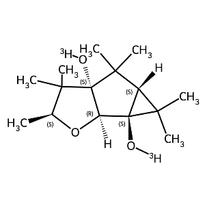 [3H]O[C@@]12[C@H]3O[C@@H](C)C(C)(C)[C@@]3(O[3H])C(C)(C)[C@@H]1C2(C)C